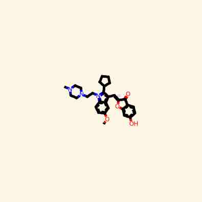 COc1ccc2c(c1)c(/C=C1\Oc3cc(O)ccc3C1=O)c(C1CCCC1)n2CCN1CCN(C)CC1